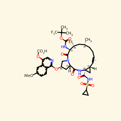 CC[C@@H]1C[C@H](C)CC/C=C\[C@@H]2C[C@@]2(C(=O)NS(=O)(=O)C2CC2)NC(=O)[C@@H]2C[C@@H](Oc3ncc(OC(=O)O)c4cc(OC)ccc34)CN2C(=O)[C@H]1NC(=O)OC(C)(C)C(F)(F)F